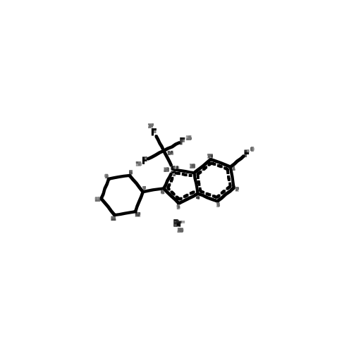 Fc1ccc2cc(C3CCCCC3)[s+](C(F)(F)F)c2c1.[Br-]